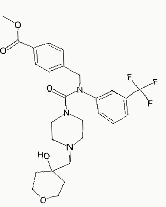 COC(=O)c1ccc(CN(C(=O)N2CCN(CC3(O)CCOCC3)CC2)c2cccc(C(F)(F)F)c2)cc1